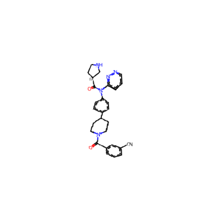 N#Cc1cccc(C(=O)N2CCC(c3ccc(N(C(=O)[C@H]4CCNC4)c4cccnn4)cc3)CC2)c1